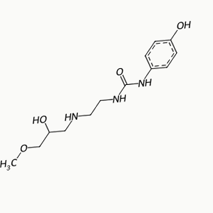 COCC(O)CNCCNC(=O)Nc1ccc(O)cc1